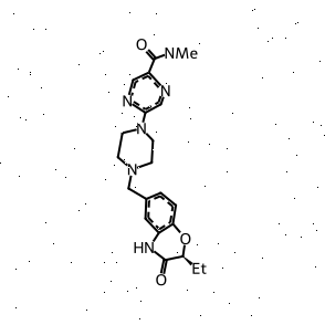 CC[C@@H]1Oc2ccc(CN3CCN(c4cnc(C(=O)NC)cn4)CC3)cc2NC1=O